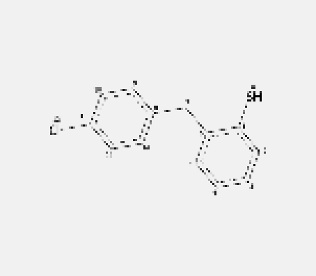 Sc1ccccc1Cc1ccc(Cl)cc1